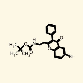 CC(C)(C)OC(=O)NCCc1oc2ccc(Br)cc2c(=O)c1-c1ccccc1